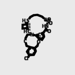 O=C1NS(=O)(=O)CCCCCS[C@H]2CC[C@@H]2CN2CCCCc3cc(Cl)ccc3COc3ccc1cc32